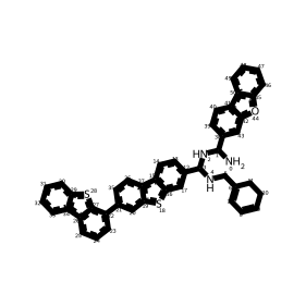 NC(NC(NCC1=CC=CCC1)c1ccc2c(c1)sc1cc(-c3cccc4c3sc3ccccc34)ccc12)c1ccc2c(c1)oc1ccccc12